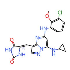 COc1c(Cl)cccc1Nc1cc(NC2CC2)n2ncc(/C=C3\NC(=O)NC3=O)c2n1